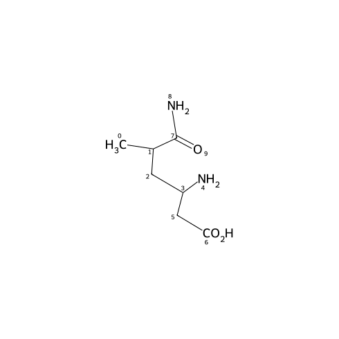 CC(CC(N)CC(=O)O)C(N)=O